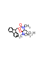 CN(C)C(=O)C(CC(=O)O)N(C)C(=O)OCC1c2ccccc2-c2ccccc21